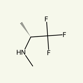 CN[C@H](C)C(F)(F)F